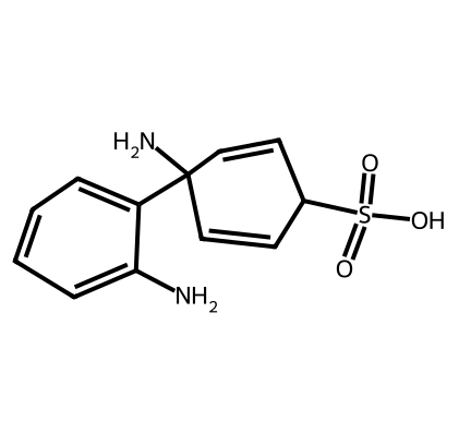 Nc1ccccc1C1(N)C=CC(S(=O)(=O)O)C=C1